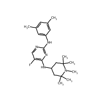 Cc1cc(C)cc(Nc2ncc(F)c(NC3CC(C)(C)N(C)C(C)(C)C3)n2)c1